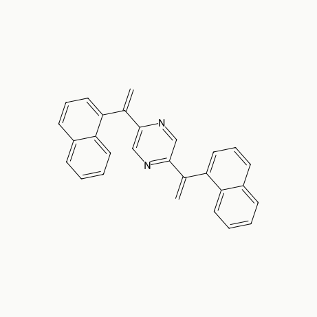 C=C(c1cnc(C(=C)c2cccc3ccccc23)cn1)c1cccc2ccccc12